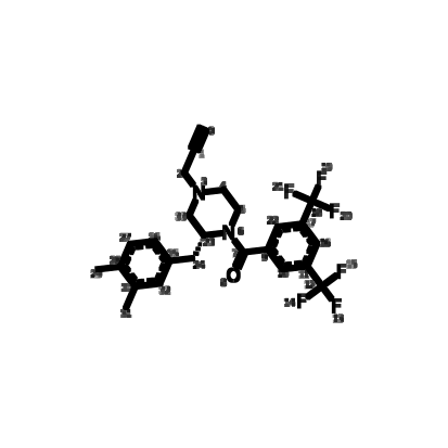 C#CCN1CCN(C(=O)c2cc(C(F)(F)F)cc(C(F)(F)F)c2)[C@H](Cc2ccc(C)c(C)c2)C1